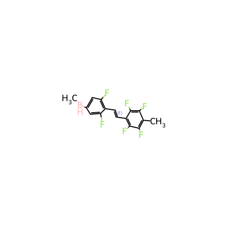 CBc1cc(F)c(/C=C/c2c(F)c(F)c(C)c(F)c2F)c(F)c1